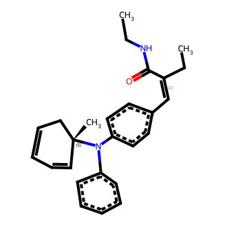 CCNC(=O)/C(=C\c1ccc(N(c2ccccc2)[C@]2(C)C=CC=CC2)cc1)CC